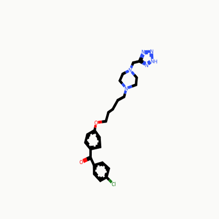 O=C(c1ccc(Cl)cc1)c1ccc(OCCCCCN2CCN(Cc3nn[nH]n3)CC2)cc1